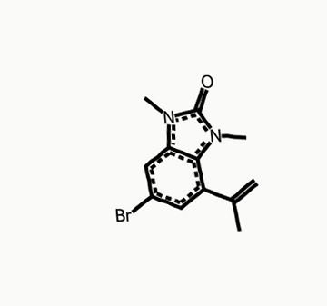 C=C(C)c1cc(Br)cc2c1n(C)c(=O)n2C